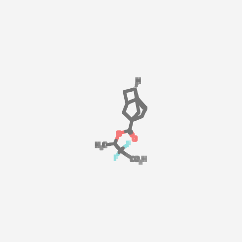 CC(OC(=O)C12CC=C3C(C[C@@H]3C1)C2)C(F)(F)C(=O)O